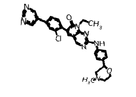 CCn1c(=O)c(-c2ccc(-c3cncnc3)cc2Cl)cc2cnc(Nc3ccc(C4CN(C)CCO4)cc3)nc21